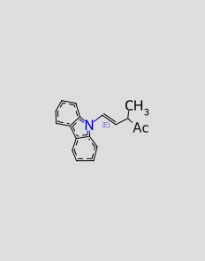 CC(=O)C(C)/C=C/n1c2ccccc2c2ccccc21